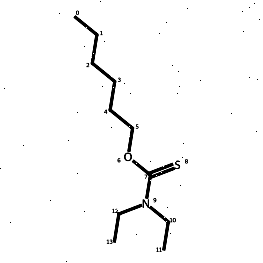 CCCCCCOC(=S)N(CC)CC